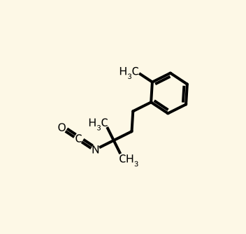 Cc1ccccc1CCC(C)(C)N=C=O